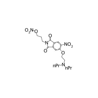 CCCN(CCC)CCOc1cc2c(cc1[N+](=O)[O-])C(=O)N(CCCO[N+](=O)[O-])C2=O